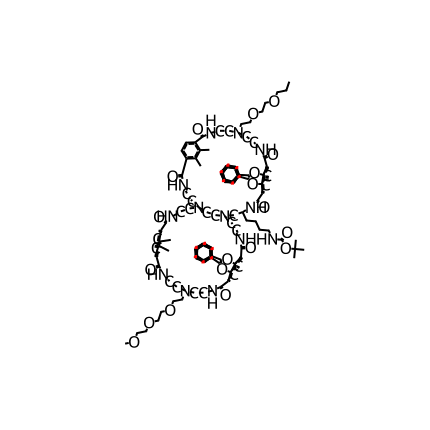 CCCOCCOCCN1CCNC(=O)c2ccc(c(C)c2C)C(=O)NCCN2CCNC(=O)c3ccc(c(C)c3C)C(=O)NCCN(CCOCCOCCOC)CCNC(=O)c3ccc(c(OCc4ccccc4)c3OCc3ccccc3)C(=O)NCCN(CC2)CC(CCCCNC(=O)OC(C)(C)C)NC(=O)c2ccc(c(OCc3ccccc3)c2OCc2ccccc2)C(=O)NCC1